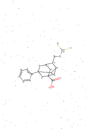 O=C(O)C12CC3CC(c4ccccc4)(CC(C1)C3CCC(F)F)C2